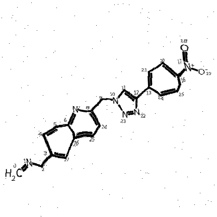 C=NCc1ccc2nc(Cn3cc(-c4ccc([N+](=O)[O-])cc4)nn3)ccc2c1